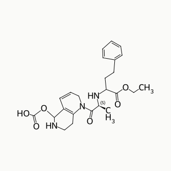 CCOC(=O)C(CCc1ccccc1)N[C@@H](C)C(=O)N1CC=CC2=C1CCNC2OC(=O)O